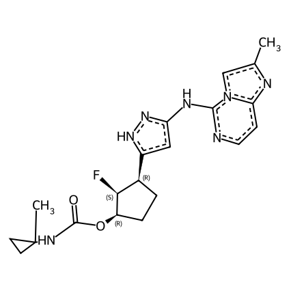 Cc1cn2c(Nc3cc([C@H]4CC[C@@H](OC(=O)NC5(C)CC5)[C@H]4F)[nH]n3)nccc2n1